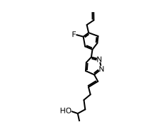 C=CCc1ccc(-c2ccc(C=CCCCC(C)O)nn2)cc1F